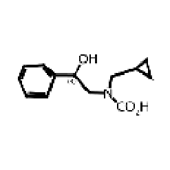 O=C(O)N(CC1CC1)C[C@H](O)c1ccccc1